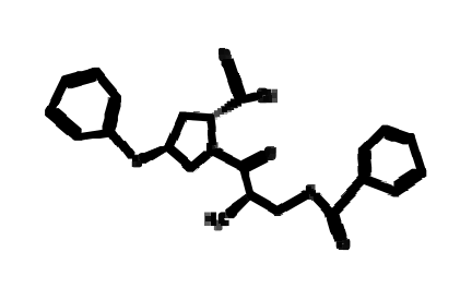 C[C@H](CSC(=O)c1ccccc1)C(=O)N1C[C@@H](Sc2ccccc2)C[C@@H]1C(=O)O